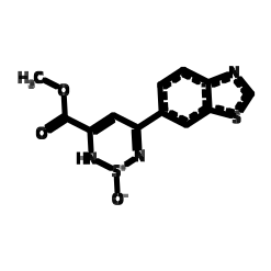 COC(=O)C1=CC(c2ccc3ncsc3c2)=N[S+]([O-])N1